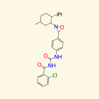 CC1CCC(C(C)C)C(N2OC2c2ccc(NC(=O)NC(=O)c3ccccc3Cl)cc2)C1